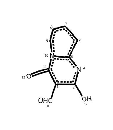 O=Cc1c(O)nc2ccccn2c1=O